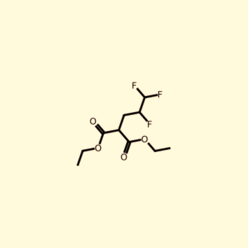 CCOC(=O)C(CC(F)C(F)F)C(=O)OCC